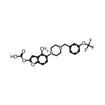 Cc1c(N2CCN(Cc3cccc(OC(F)(F)F)c3)CC2)ccc2oc(OC(=O)O)cc12